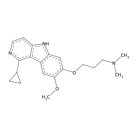 COc1cc2c(cc1OCCCN(C)C)[nH]c1ccnc(C3CC3)c12